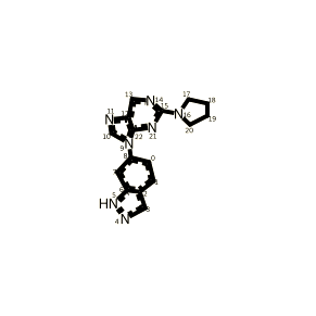 c1cc2cn[nH]c2cc1-n1cnc2cnc(N3CCCC3)nc21